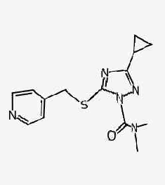 CN(C)C(=O)n1nc(C2CC2)nc1SCc1ccncc1